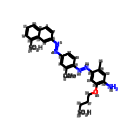 COc1cc(N=Nc2ccc3cccc(S(=O)(=O)O)c3c2)ccc1N=Nc1cc(OCCCS(=O)(=O)O)c(N)cc1C